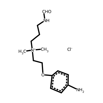 C[N+](C)(CCCNC=O)CCOc1ccc(N)cc1.[Cl-]